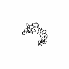 CCS(=O)(=O)N1CCN(Cc2ccc(CNc3cccc4c3C(=O)N(C3CCC(=O)NC3=O)C4=O)cc2F)CC1